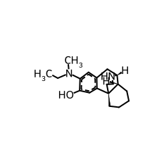 CCN(C)c1cc2c(cc1O)[C@@]13CCCC[C@H]1[C@@H](C2)NCC3